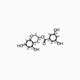 O=C(O[C@@H]1COc2cc(O)cc(O)c2C1)c1cc(O)cc(O)c1